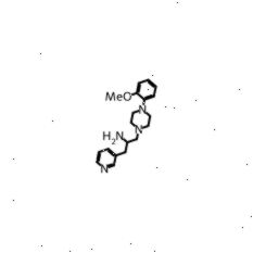 COc1ccccc1N1CCN(CC(N)Cc2cccnc2)CC1